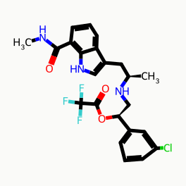 CNC(=O)c1cccc2c(C[C@@H](C)NC[C@H](OC(=O)C(F)(F)F)c3cccc(Cl)c3)c[nH]c12